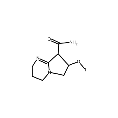 NC(=O)C1C2=NCCCN2CC1OI